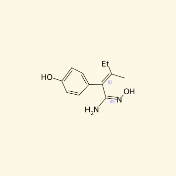 CC/C(C)=C(/C(N)=N\O)c1ccc(O)cc1